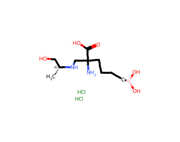 C[C@H](CO)NCC(N)(CCCCB(O)O)C(=O)O.Cl.Cl